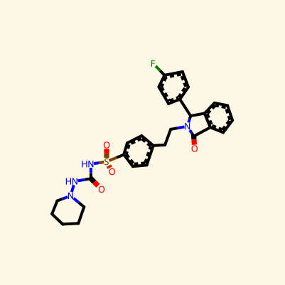 O=C(NN1CCCCC1)NS(=O)(=O)c1ccc(CCN2C(=O)c3ccccc3C2c2ccc(F)cc2)cc1